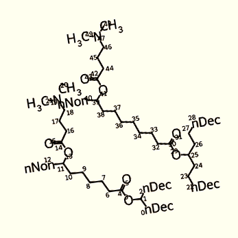 CCCCCCCCCCC(CCCCCCCCCC)OC(=O)CCCCCC(CCCCCCCCC)OC(=O)CCCN(C)C.CCCCCCCCCCCCC(CCCCCCCCCCCC)OC(=O)CCCCCCCC(CCCCCCCCC)OC(=O)CCCN(C)C